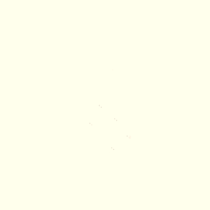 CC1NC=C(C(=N)N)N=CN1Cc1oc2ccccc2c(=O)c1-c1cccc(F)c1